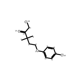 CC(C)(CCOc1ccc(Cl)cc1)C(=O)CCl